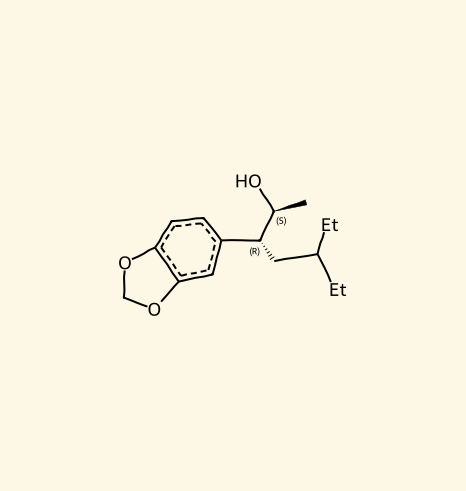 CCC(CC)C[C@H](c1ccc2c(c1)OCO2)[C@H](C)O